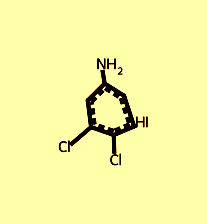 I.Nc1ccc(Cl)c(Cl)c1